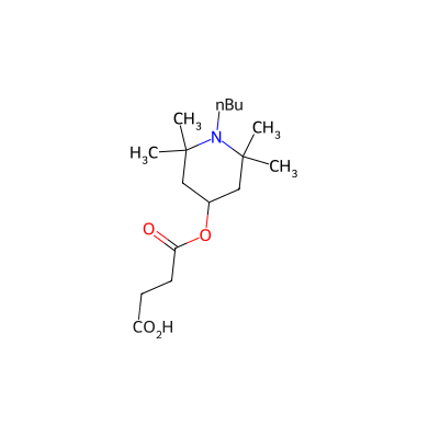 CCCCN1C(C)(C)CC(OC(=O)CCC(=O)O)CC1(C)C